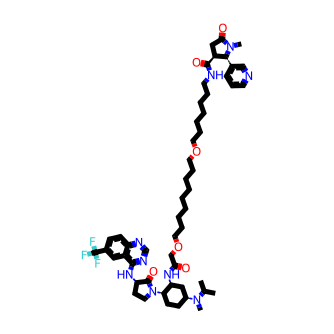 CC(C)N(C)[C@@H]1CC[C@H](N2CC[C@H](Nc3ncnc4ccc(C(F)(F)F)cc34)C2=O)[C@H](NC(=O)COCCCCCCCCCOCCCCCCCNC(=O)[C@H]2CC(=O)N(C)[C@@H]2c2cccnc2)C1